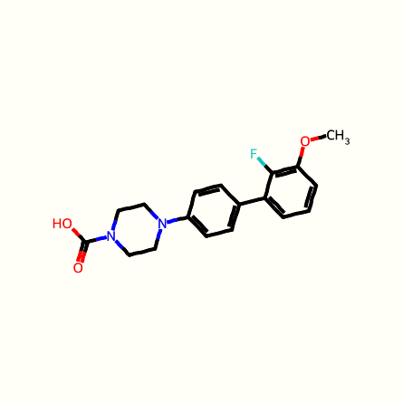 COc1cccc(-c2ccc(N3CCN(C(=O)O)CC3)cc2)c1F